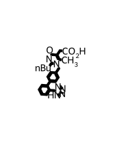 CCCCc1nc(=O)c(CC(=O)O)c(C)n1Cc1ccc(-c2ccccc2-c2nnn[nH]2)cc1